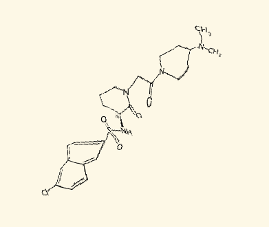 CN(C)C1CCN(C(=O)CN2CCC[C@H](NS(=O)(=O)c3ccc4cc(Cl)ccc4c3)C2=O)CC1